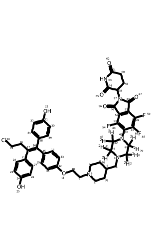 [2H]C1([2H])N(CC2CCN(CCOc3ccc(C(=C(CCCl)c4ccc(O)cc4)c4ccc(O)cc4)cc3)CC2)C([2H])([2H])C([2H])([2H])N(c2c(F)c(F)c3c(c2F)C(=O)N(C2CCC(=O)NC2=O)C3=O)C1([2H])[2H]